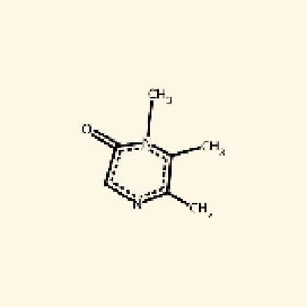 Cc1ncc(=O)n(C)c1C